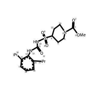 COC(=O)N1CCC(S(=O)(=O)NC(=O)Nc2c(C(C)C)cccc2C(C)C)CC1